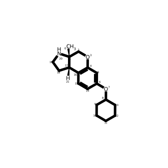 C[C@@]12COc3cc(OC4CCCCC4)ccc3[C@@H]1CCN2